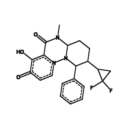 CN1C(=O)c2c(O)c(=O)ccn2N2C(c3ccccc3)C(C3CC3(F)F)CCC12